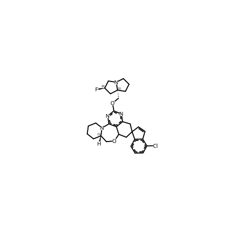 F[C@H]1CN2CCC[C@@]2(COc2nc3c4c(n2)N2CCCC[C@H]2COC4CC2(C=Cc4c(Cl)cccc42)C3)C1